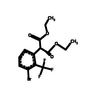 CCOC(=O)C(C(=O)OCC)c1cccc(Br)c1C(F)(F)F